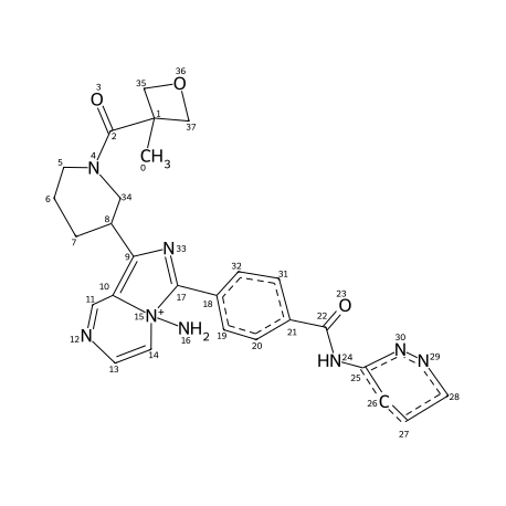 CC1(C(=O)N2CCCC(C3=C4C=NC=C[N+]4(N)C(c4ccc(C(=O)Nc5cccnn5)cc4)=N3)C2)COC1